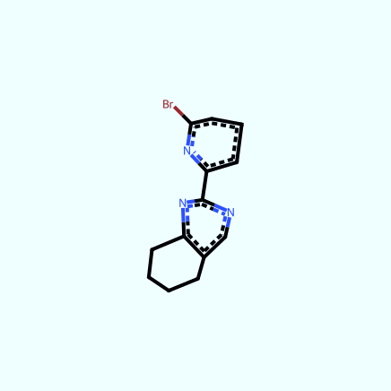 Brc1cccc(-c2ncc3c(n2)CCCC3)n1